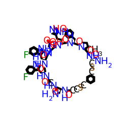 C[C@@]12CCCN1C(=O)[C@H](Cc1ccc(O)cc1)NC(=O)[C@H](CCc1cnc[nH]1)NC(=O)[C@H](CC(=O)O)NC(=O)[C@H](Cc1c[nH]c3ccc(F)cc13)NC(=O)[C@H](Cc1c[nH]c3ccc(F)cc13)NC(=O)CNC(=O)[C@H](CN)NC(=O)CCSCc1cccc(c1)CSC[C@@H](C(N)=O)NC2=O